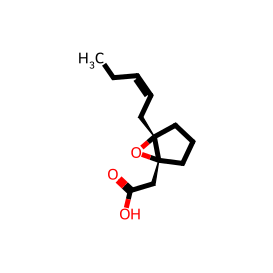 CC/C=C\C[C@@]12CCC[C@]1(CC(=O)O)O2